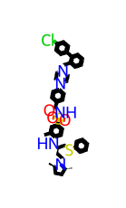 Cc1cc(S(=O)(=O)NC(=O)c2ccc(N3CCN(Cc4ccccc4-c4ccc(Cl)cc4)CC3)cc2)ccc1N[C@H](CCN1[C@H](C)CC[C@H]1C)CSc1ccccc1